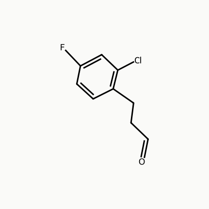 O=CCCc1ccc(F)cc1Cl